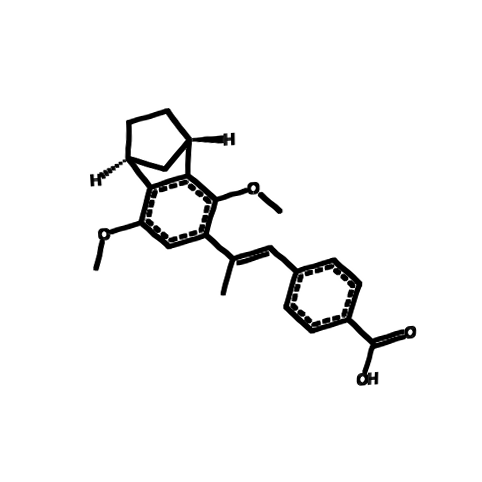 COc1cc(C(C)=Cc2ccc(C(=O)O)cc2)c(OC)c2c1[C@H]1CC[C@H]2C1